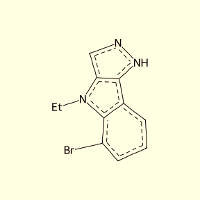 CCn1c2cn[nH]c2c2cccc(Br)c21